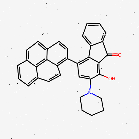 O=C1c2ccccc2-c2c(-c3ccc4ccc5cccc6ccc3c4c56)cc(N3CCCCC3)c(O)c21